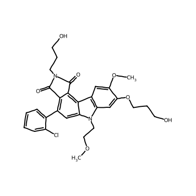 COCCn1c2cc(OCCCO)c(OC)cc2c2c3c(c(-c4ccccc4Cl)cc21)C(=O)N(CCCO)C3=O